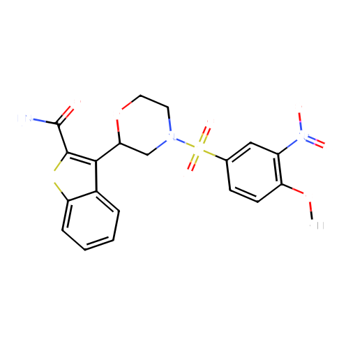 COc1ccc(S(=O)(=O)N2CCOC(c3c(C(N)=O)sc4ccccc34)C2)cc1[N+](=O)[O-]